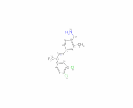 Cc1cc(/C=C/C(c2ccc(Cl)c(Cl)c2)C(F)(F)F)ccc1CN